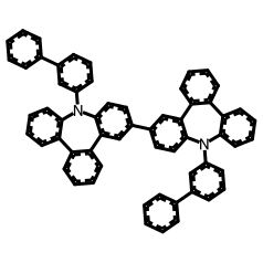 c1ccc(-c2cccc(N3c4ccccc4-c4ccccc4-c4cc(-c5ccc6c(c5)-c5ccccc5-c5ccccc5N6c5cccc(-c6ccccc6)c5)ccc43)c2)cc1